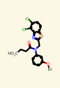 CCOc1cccc(N(Cc2nc3c(Cl)c(Cl)ccc3s2)C(=O)CCC(=O)O)c1